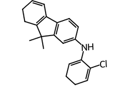 CC1(C)C2=C(C=CCC2)c2ccc(NC3=CCCC=C3Cl)cc21